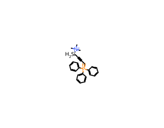 C[N+](C)(C)[SiH2]C#CC[PH](c1ccccc1)(c1ccccc1)c1ccccc1